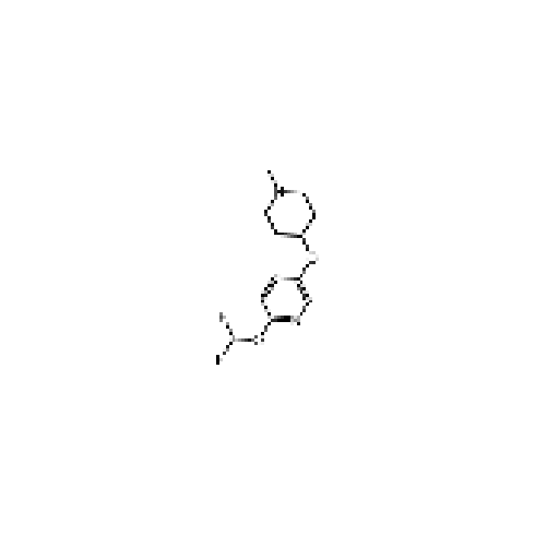 CN1CCC(Oc2ccc(OC(F)F)nc2)CC1